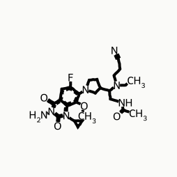 CCN(CCC#N)C(CNC(C)=O)C1CCN(c2c(F)cc3c(=O)n(N)c(=O)n(C4CC4)c3c2OC)C1